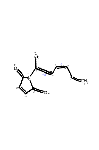 C=C/C=C\C=C(/CC)N1C(=O)C=CC1=O